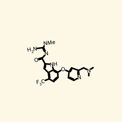 CNC(N)=NC(=O)c1cc2c(C(F)(F)F)ccc(Oc3ccnc(CN(C)C)c3)c2[nH]1